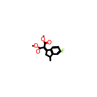 COC(=O)C(C(=O)OC)=C1CC(C)c2cc(F)ccc21